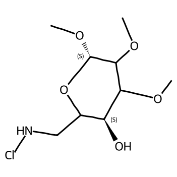 COC1C(OC)[C@@H](O)C(CNCl)O[C@@H]1OC